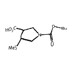 CSC1CN(C(=O)OC(C)(C)C)CC1C(=O)O